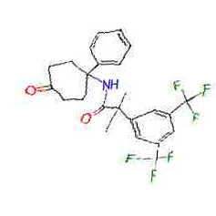 CC(C)(C(=O)NC1(c2ccccc2)CCC(=O)CC1)c1cc(C(F)(F)F)cc(C(F)(F)F)c1